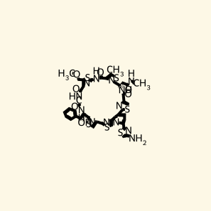 CNC(=O)C[C@@H]1NC(=O)c2csc(n2)-c2ccc(-c3nc(N)cs3)nc2-c2csc(n2)-c2csc(n2)[C@H]([C@@H](O)c2ccccc2)NC(=O)CNC(=O)c2nc(sc2COC)NC(=O)c2nc1sc2C